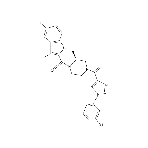 Cc1c(C(=O)N2CCN(C(=O)c3ncn(-c4cccc(Cl)c4)n3)C[C@@H]2C)oc2ccc(F)cc12